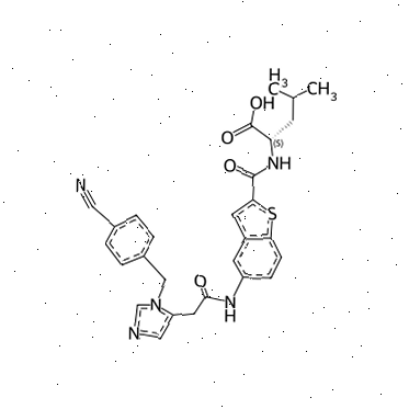 CC(C)C[C@H](NC(=O)c1cc2cc(NC(=O)Cc3cncn3Cc3ccc(C#N)cc3)ccc2s1)C(=O)O